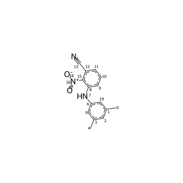 Cc1cc(C)cc(Nc2cccc(C#N)c2[N+](=O)[O-])c1